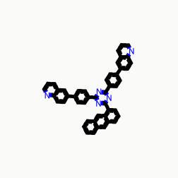 c1ccc2cc3c(-c4nc(-c5ccc(-c6ccc7ncccc7c6)cc5)nc(-c5ccc(-c6ccc7ncccc7c6)cc5)n4)cccc3cc2c1